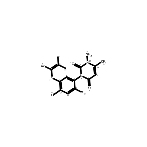 CC(=O)C(Sc1cc(-n2c(=O)cc(C(F)(F)F)n(N)c2=O)c(F)cc1Cl)=C(C)C